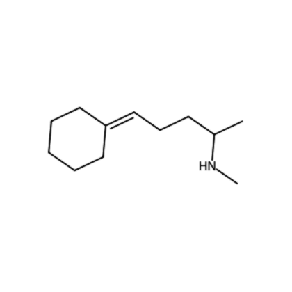 CNC(C)CCC=C1CCCCC1